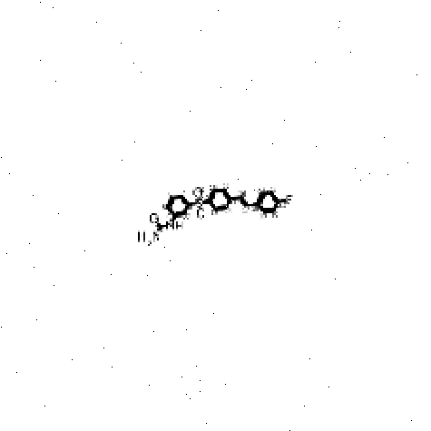 NC(=O)Nc1cccc(S(=O)(=O)c2ccc(C=Cc3ccc(F)cc3)cc2)c1